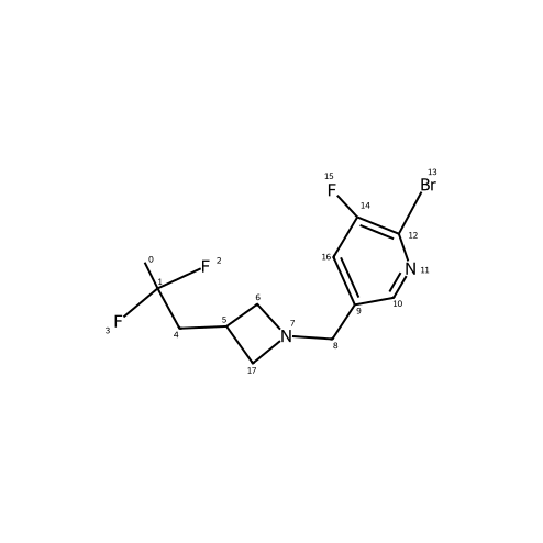 CC(F)(F)CC1CN(Cc2cnc(Br)c(F)c2)C1